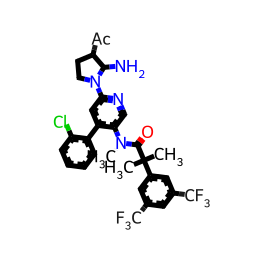 CC(=O)C1CCN(c2cc(-c3ccccc3Cl)c(N(C)C(=O)C(C)(C)c3cc(C(F)(F)F)cc(C(F)(F)F)c3)cn2)C1N